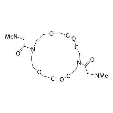 CNCC(=O)N1CCOCCOCCN(C(=O)CNC)CCOCCOCC1